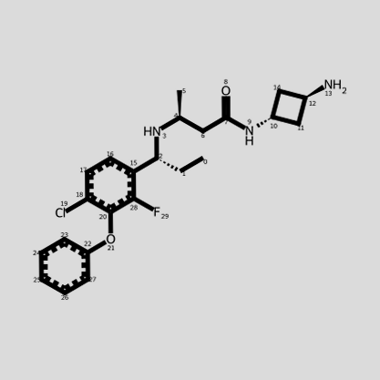 CC[C@@H](N[C@@H](C)CC(=O)N[C@H]1C[C@H](N)C1)c1ccc(Cl)c(Oc2ccccc2)c1F